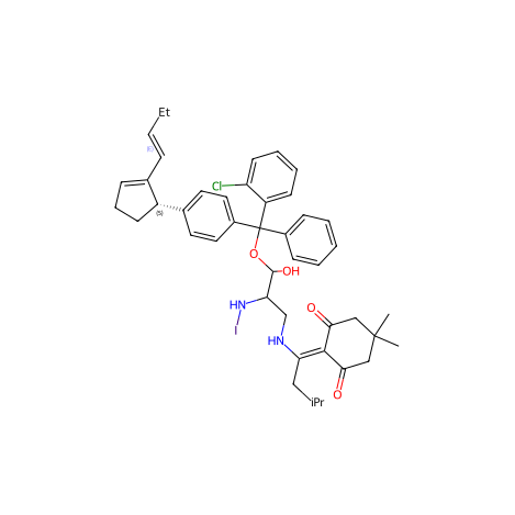 CC/C=C/C1=CCC[C@H]1c1ccc(C(OC(O)C(CNC(CC(C)C)=C2C(=O)CC(C)(C)CC2=O)NI)(c2ccccc2)c2ccccc2Cl)cc1